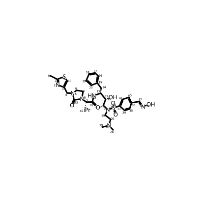 Cc1nc(CN2CCN([C@H](C(=O)N[C@@H](Cc3ccccc3)[C@H](O)CN(CCN(C)C)S(=O)(=O)c3ccc(/C=N/O)cc3)C(C)C)C2=O)cs1